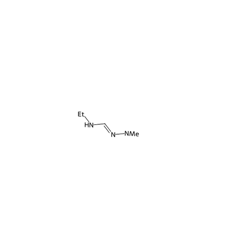 CCN/C=N/NC